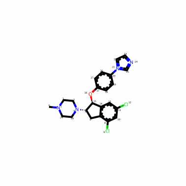 CN1CCN([C@H]2Cc3c(Cl)cc(Cl)cc3[C@@H]2Oc2ccc(-n3ccnc3)cc2)CC1